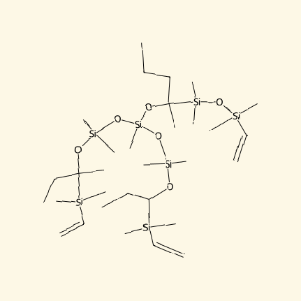 C=C[Si](C)(C)O[Si](C)(C)C(C)(CCC)O[Si](C)(O[Si](C)(C)OC(CC)[Si](C)(C)C=C)O[Si](C)(C)OC(C)(CC)[Si](C)(C)C=C